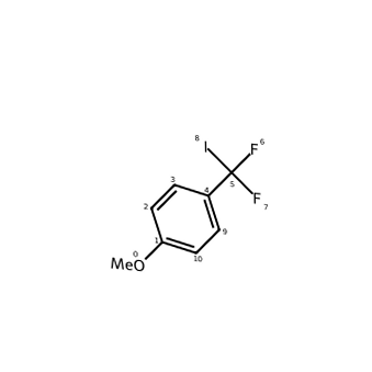 COc1ccc(C(F)(F)I)cc1